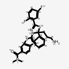 CN(C)C(=O)c1ccc2nc(N3N=C(c4cc(F)ccc4F)SC3(CCCN)c3ccccc3)sc2c1